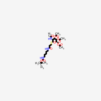 CC(=O)N[C@@H]1[C@@H](OC(C)=O)[C@@H](OC(C)=O)[C@@H](COC(C)=O)O[C@H]1SCCC(=O)NCCCCCNC(=O)OC(C)(C)C